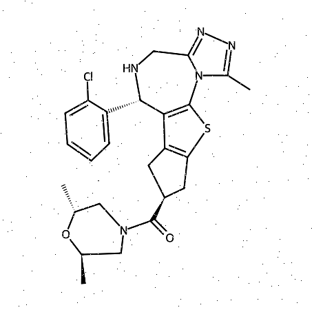 Cc1nnc2n1-c1sc3c(c1[C@H](c1ccccc1Cl)NC2)C[C@H](C(=O)N1C[C@@H](C)O[C@H](C)C1)C3